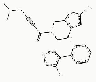 CN(C)CC#CC(=O)N1Cc2sc(C#N)cc2[C@H](c2ccccc2-c2c[nH]nc2C(F)(F)F)C1